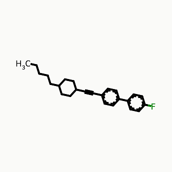 CCCCCC1CCC(C#Cc2ccc(-c3ccc(F)cc3)cc2)CC1